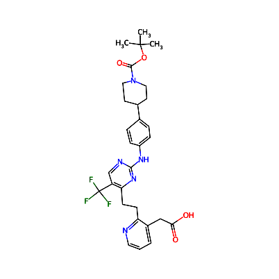 CC(C)(C)OC(=O)N1CCC(c2ccc(Nc3ncc(C(F)(F)F)c(CCc4ncccc4CC(=O)O)n3)cc2)CC1